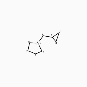 [CH]1CCCN1CC1CC1